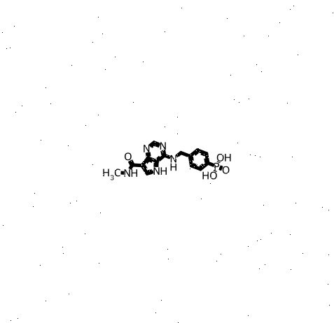 CNC(=O)c1c[nH]c2c(NCc3ccc(P(=O)(O)O)cc3)ncnc12